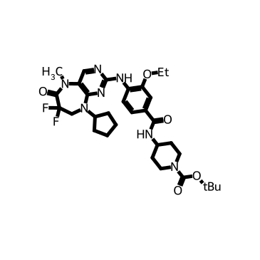 CCOc1cc(C(=O)NC2CCN(C(=O)OC(C)(C)C)CC2)ccc1Nc1ncc2c(n1)N(C1CCCC1)CC(F)(F)C(=O)N2C